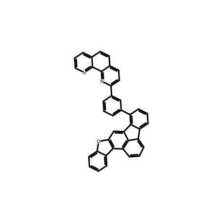 c1cc(-c2ccc3ccc4cccnc4c3n2)cc(-c2cccc3c2-c2cc4oc5ccccc5c4c4cccc-3c24)c1